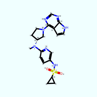 CN(c1ccc(NS(=O)(=O)C2CC2)cn1)[C@@H]1CCN(c2ncnc3[nH]ccc23)C1